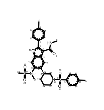 CNC(=O)c1c(-c2ccc(C)cc2)oc2cc(N(C)S(C)(=O)=O)c([C@@H]3CCCN(S(=O)(=O)c4ccc(C)cc4)C3)cc12